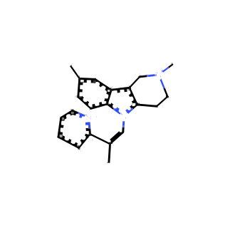 C/C(=C/n1c2c(c3cc(C)ccc31)CN(C)CC2)c1ccccn1